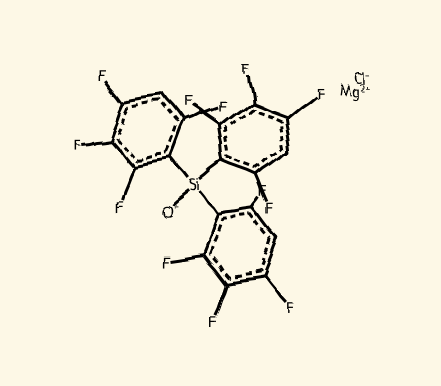 [Cl-].[Mg+2].[O-][Si](c1c(F)cc(F)c(F)c1F)(c1c(F)cc(F)c(F)c1F)c1c(F)cc(F)c(F)c1F